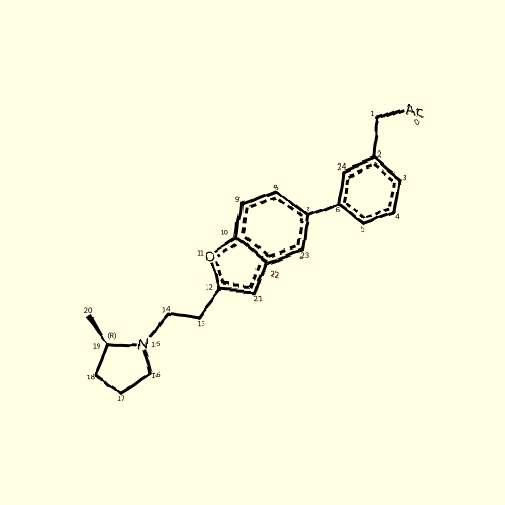 CC(=O)Cc1cccc(-c2ccc3oc(CCN4CCC[C@H]4C)cc3c2)c1